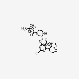 CC(C)(C)OC(=O)N1CCN[C@@H](COc2cc(Cl)nc(N3CCOCC3(C)C)c2C(=O)O)C1